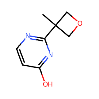 CC1(c2nccc(O)n2)COC1